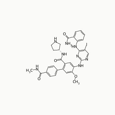 CNC(=O)c1ccc(-c2cc(OC)c(Nc3ncc(I)c(Nc4ccccc4C(N)=O)n3)cc2C(=O)N[C@@H]2CCNC2)cc1